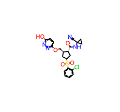 N#CC1(NC(=O)[C@@H]2C[C@@H](S(=O)(=O)c3ccccc3Cl)C[C@H]2COc2ccc(O)nn2)CC1